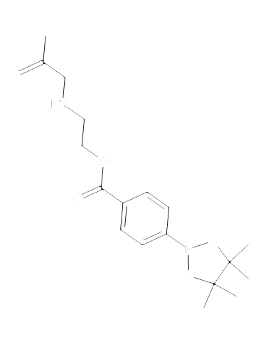 C=C(C)CNCCOC(=O)c1ccc(B2OC(C)(C)C(C)(C)O2)cc1